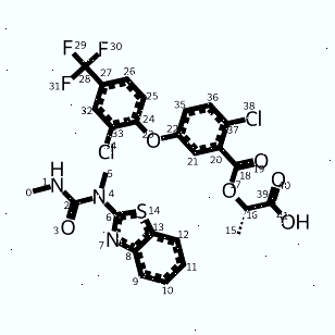 CNC(=O)N(C)c1nc2ccccc2s1.C[C@H](OC(=O)c1cc(Oc2ccc(C(F)(F)F)cc2Cl)ccc1Cl)C(=O)O